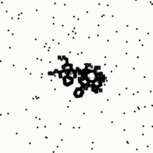 CCO[C@@]12CO[C@@H]1C[C@H](O)[C@@]1(C)C(=O)[C@H](O)C3=C(C)[C@@H](OC(=O)[C@H](OC(=O)CN)[C@@H](NC(=O)OC(C)(C)C)c4ccccc4)C[C@@](O)([C@@H](OC(=O)c4ccccc4)C12)C3(C)C